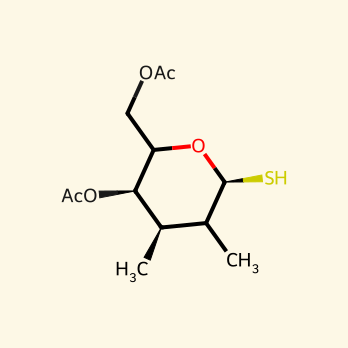 CC(=O)OCC1O[C@@H](S)C(C)[C@@H](C)[C@H]1OC(C)=O